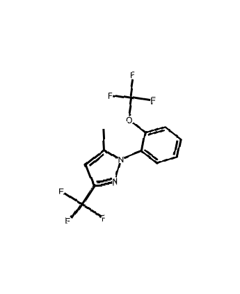 Cc1cc(C(F)(F)F)nn1-c1ccccc1OC(F)(F)F